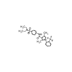 CCN(CC)S(=O)(=O)c1ccc(NC(=O)c2c(C)cn(-c3ccccc3C(F)(F)F)c2C)cc1